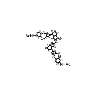 CC(=O)Nc1ccc2c(c1)OCc1cc(-c3cccc4c3CN(Cc3cc5c(-c6cc7n(n6)Cc6ccc(NC(C)=O)cc6OC7)ccnc5[nH]3)C4=O)nn1C2